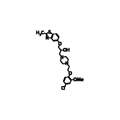 COc1cc(Cl)ccc1OCCN1CCN(CC(O)COc2ccc3sc(C)nc3c2)CC1